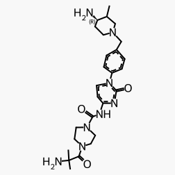 CC1CN(Cc2ccc(-n3ccc(NC(=O)N4CCN(C(=O)C(C)(C)N)CC4)nc3=O)cc2)CC[C@H]1N